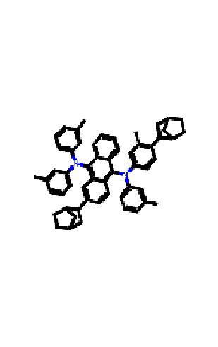 Cc1cccc(N(c2ccc(C3CC4CCC3C4)c(C)c2)c2c3ccccc3c(N(c3cccc(C)c3)c3cccc(C)c3)c3cc(C4CC5CCC4C5)ccc23)c1